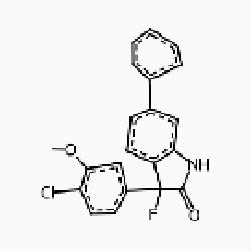 COc1cc(C2(F)C(=O)Nc3cc(-c4ccccc4)ccc32)ccc1Cl